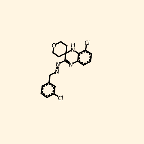 Clc1cccc(CN=NC2=Nc3cccc(Cl)c3NC23CCOCC3)c1